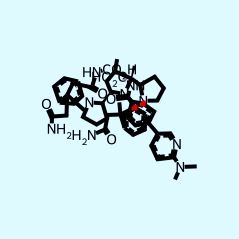 CC1C[C@H](C2CCCN2[C@@]2(C(=O)NC(=O)O)c3ccc(cc3)C2(C)CC(N)=O)N(c2ccc(-c3ccc(N(C)C)nc3)cc2)[C@@]1(C)C1CCCN1[C@@]1(C(=O)NC(=O)O)c2ccc(cc2)C1(C)CC(N)=O